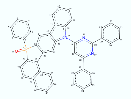 O=P1(c2ccccc2)c2cc3c4ccccc4n(-c4cc(-c5ccccc5)nc(-c5ccccc5)n4)c3cc2-c2c1ccc1ccccc21